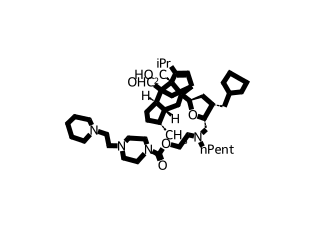 CCCCCN(CCOC(=O)N1CCN(CCN2CCCCC2)CC1)C[C@@H]1O[C@@H](C23C[C@@H]4[C@H](C)CC[C@H]4C4(C=O)CC2C=C(C(C)C)[C@]43C(=O)O)C[C@@H]1CC1CCCC1